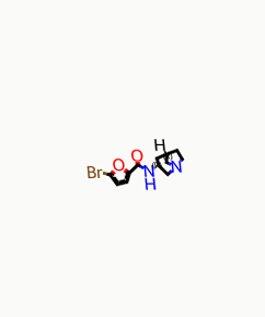 O=C(N[C@@H]1C[C@H]2CCN(C2)C1)c1ccc(Br)o1